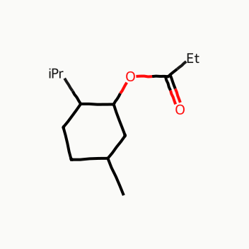 CCC(=O)OC1CC(C)CCC1C(C)C